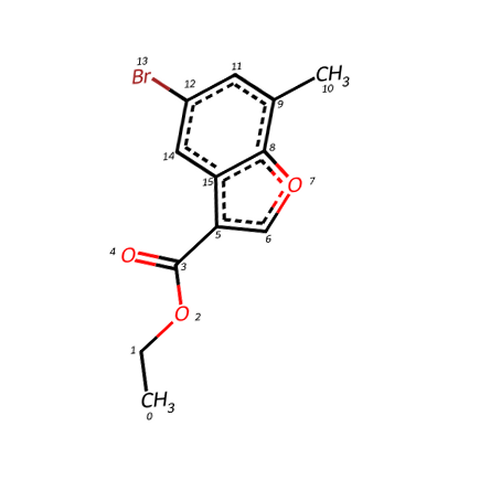 CCOC(=O)c1coc2c(C)cc(Br)cc12